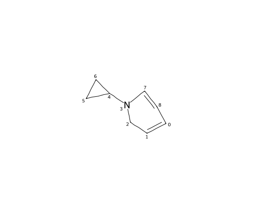 C1=CCN(C2CC2)C=C1